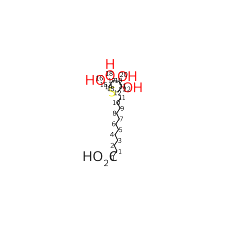 O=C(O)CCCCCCCCCCC[C@@H]1S[C@H](CO)[C@@H](O)[C@H](O)[C@H]1O